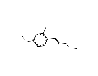 COC/C=C/c1ccc(OC)cc1C